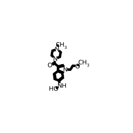 COCCn1cc(C(=O)N2CCN(C)CC2)c2ccc(NO)cc21